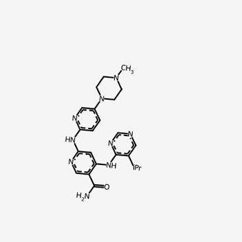 CC(C)c1cncnc1Nc1cc(Nc2ccc(N3CCN(C)CC3)cn2)ncc1C(N)=O